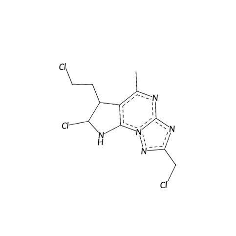 Cc1nc2nc(CCl)nn2c2c1C(CCCl)C(Cl)N2